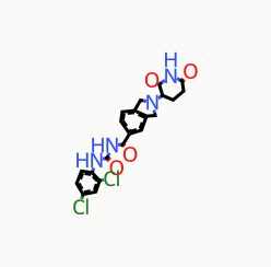 O=C1CCC(N2Cc3ccc(C(=O)NC(=O)Nc4ccc(Cl)cc4Cl)cc3C2)C(=O)N1